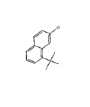 CC(C)(C)c1cccc2ccc(Cl)cc12